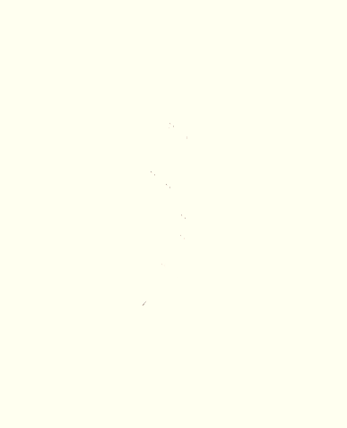 O=C1NCc2nn(-c3ccc(N4CC[C@@H](F)C4)nn3)cc21